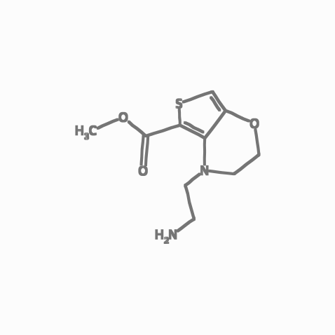 COC(=O)c1scc2c1N(CCN)CCO2